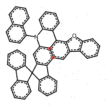 c1ccc(N(c2ccc3c(c2)C2(c4ccccc4-c4ccccc42)c2ccccc2-3)c2cccc3ccccc23)c(-c2cccc3c2oc2ccccc23)c1